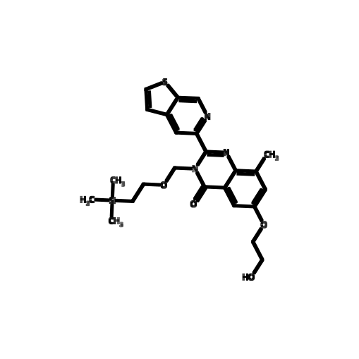 Cc1cc(OCCO)cc2c(=O)n(COCC[Si](C)(C)C)c(-c3cc4ccsc4cn3)nc12